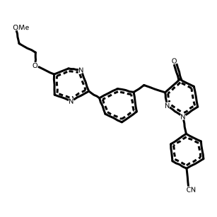 COCCOc1cnc(-c2cccc(Cc3nn(-c4ccc(C#N)cc4)ccc3=O)c2)nc1